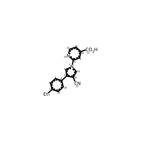 CCc1ccc(-c2cn(-c3cc(C(=O)O)ccn3)cc2C#N)cc1